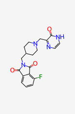 O=C1c2cccc(F)c2C(=O)N1CC1CCN(Cc2ncc[nH]c2=O)CC1